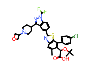 Cc1cc2nc(-c3ccc4c(c3)c(C3CCN(C5COC5)CC3)nn4C(F)F)sc2c(-c2ccc(Cl)cc2)c1C(OC(C)(C)C)C(=O)O